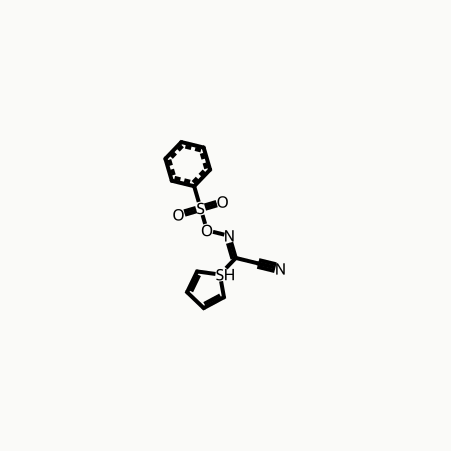 N#CC(=NOS(=O)(=O)c1ccccc1)[SH]1C=CC=C1